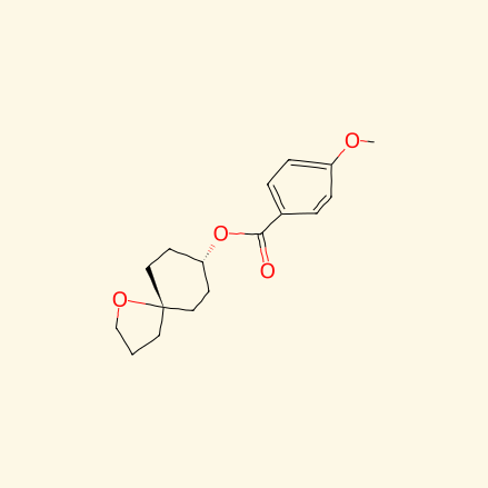 COc1ccc(C(=O)O[C@H]2CC[C@]3(CCCO3)CC2)cc1